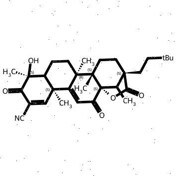 CC1[C@]2(CCC(C)(C)C)CC[C@@]3(C)[C@]4(C)CCC5[C@](C)(O)C(=O)C(C#N)=C[C@]5(C)C4=CC(=O)[C@]13OC2=O